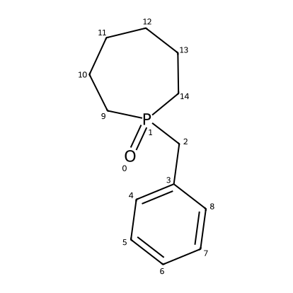 O=P1(Cc2ccccc2)CCCCCC1